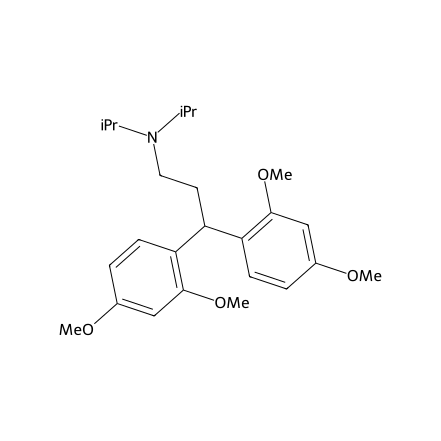 COc1ccc(C(CCN(C(C)C)C(C)C)c2ccc(OC)cc2OC)c(OC)c1